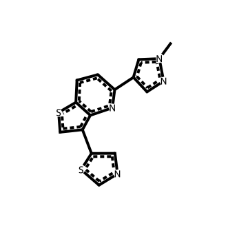 Cn1cc(-c2ccc3scc(-c4cncs4)c3n2)cn1